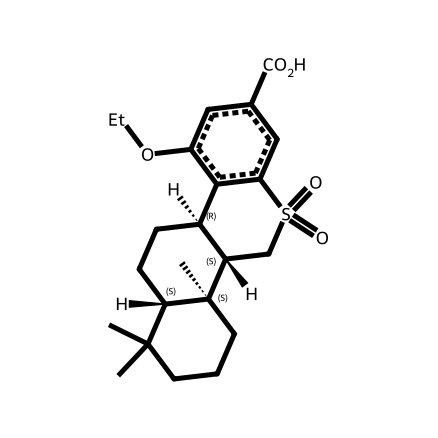 CCOc1cc(C(=O)O)cc2c1[C@@H]1CC[C@H]3C(C)(C)CCC[C@]3(C)[C@H]1CS2(=O)=O